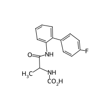 CC(NC(=O)O)C(=O)Nc1ccccc1-c1ccc(F)cc1